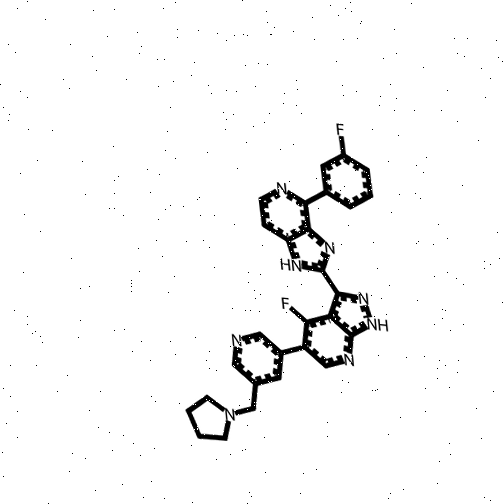 Fc1cccc(-c2nccc3[nH]c(-c4n[nH]c5ncc(-c6cncc(CN7CCCC7)c6)c(F)c45)nc23)c1